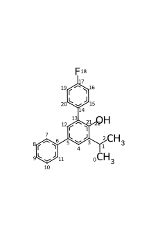 CC(C)c1cc(-c2ccccc2)cc(-c2ccc(F)cc2)c1O